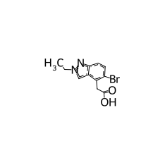 CCn1cc2c(CC(=O)O)c(Br)ccc2n1